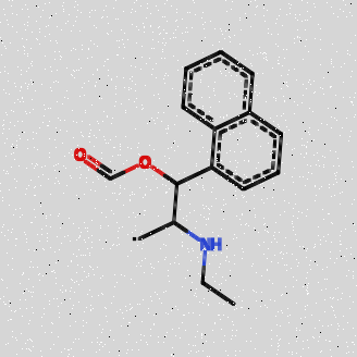 [CH2]C(NCC)C(OC=O)c1cccc2ccccc12